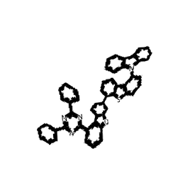 c1ccc(-c2nc(-c3ccccc3)nc(-c3cccc4oc5cc(-c6cccc7c6sc6cccc(-n8c9ccccc9c9ccccc98)c67)ccc5c34)n2)cc1